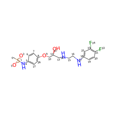 CS(=O)(=O)Nc1ccc(OC[C@@H](O)CNCCNc2ccc(F)c(F)c2)cc1